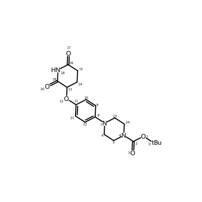 CC(C)(C)OC(=O)N1CCN(c2ccc(OC3CCC(=O)NC3=O)cc2)CC1